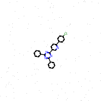 Clc1ccc(-c2ccc(-c3nc(-c4ccccc4)nc(-c4ccccc4)n3)cn2)cc1